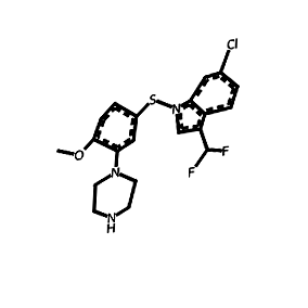 COc1ccc(Sn2cc(C(F)F)c3ccc(Cl)cc32)cc1N1CCNCC1